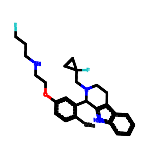 COc1ccc(OCCNCCCF)cc1C1c2[nH]c3ccccc3c2CCN1CC1(F)CC1